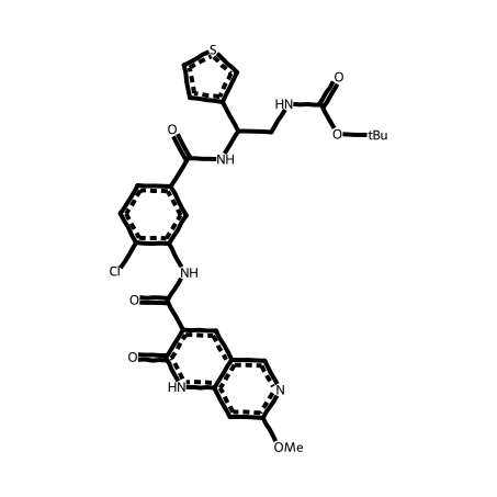 COc1cc2[nH]c(=O)c(C(=O)Nc3cc(C(=O)NC(CNC(=O)OC(C)(C)C)c4ccsc4)ccc3Cl)cc2cn1